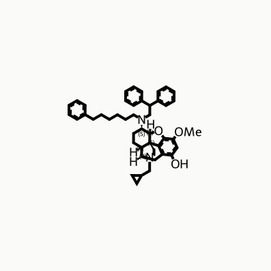 COc1cc(O)c2c3c1O[C@H]1[C@@H](N(CCCCCCc4ccccc4)CC(c4ccccc4)c4ccccc4)CC[C@H]4[C@@H](C2)N(CC2CC2)CC[C@@]341